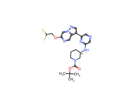 CC(C)(C)OC(=O)N1CCC[C@@H](Nc2cncc(-c3cnn4cc(OCC(F)F)ncc34)n2)C1